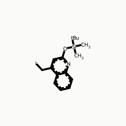 CC(C)(C)[Si](C)(C)Oc1cc(CI)c2ccccc2n1